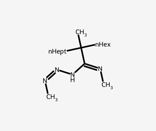 CCCCCCCC(C)(CCCCCC)/C(=N/C)N/N=N\C